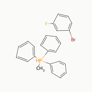 C[PH](c1ccccc1)(c1ccccc1)c1ccccc1.Fc1cccc(Br)c1